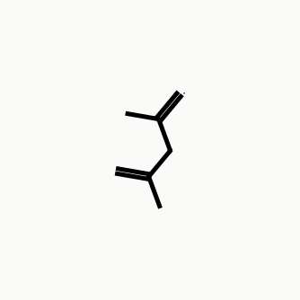 [CH]=C(C)CC(=C)C